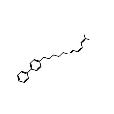 CC(C)=C/C=C\C=N\CCCCCc1ccc(-c2ccccc2)cc1